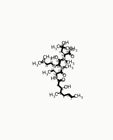 C/C=C/C[C@@H](C)[C@@H](O)CC(=O)N[C@@H](CC)C(=O)N(C)/C(SCCN(C)C)=C(/O)N(C)[C@@H](CC(C)(C)O)C(N)=O